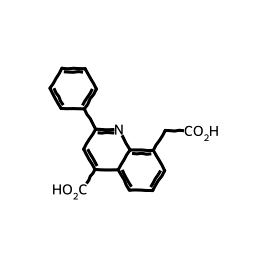 O=C(O)Cc1cccc2c(C(=O)O)cc(-c3ccccc3)nc12